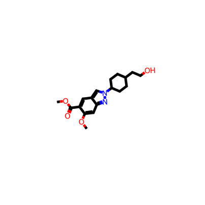 COC(=O)c1cc2cn(C3CCC(CCO)CC3)nc2cc1OC